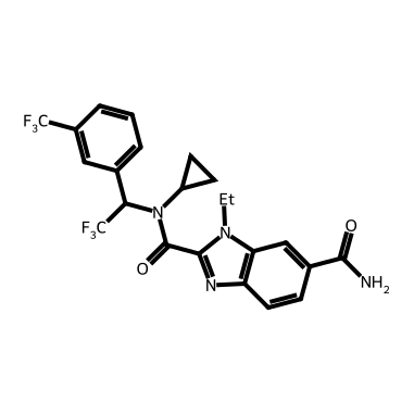 CCn1c(C(=O)N(C2CC2)C(c2cccc(C(F)(F)F)c2)C(F)(F)F)nc2ccc(C(N)=O)cc21